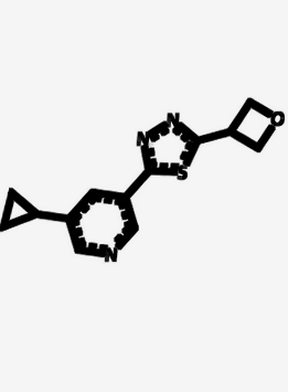 c1ncc(C2CC2)cc1-c1nnc(C2COC2)s1